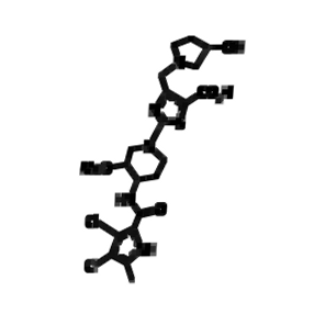 COC1CN(c2nc(CN3CCC(O)C3)c(C(=O)O)s2)CCC1NC(=O)c1[nH]c(C)c(Cl)c1Cl